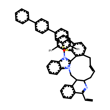 C=CC1=NC2C/C=C/Cc3ccc4c(sc5cc(-c6ccc(-c7ccccc7)cc6)ccc54)c3-c3n(-c4c(C(C)C)cccc4C(C)C)c4ccccc4[n+]3CC2c2ccccc21